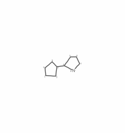 C1CCC(C2CCC[N]2)C1